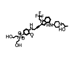 COc1cc(S(=O)(=O)N(CCO)CCO)ccc1NCC#Cc1cc2c(NC3CCN(CC(C)O)CC3)cccc2n1CC(F)(F)F